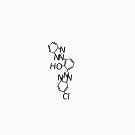 Oc1c(-n2nc3ccccc3n2)cccc1-n1nc2ccc(Cl)cc2n1